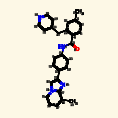 Cc1ccc(C(=O)Nc2ccc(-c3cn4cccc(C)c4n3)cc2)c(Cc2ccncc2)c1